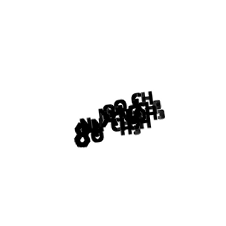 CC(C)CC(NC(=O)C1ON=C(CNC(=O)c2nccc3ccccc23)C1C)B(O)O